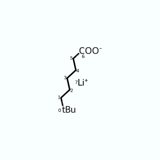 CC(C)(C)CCCCCC(=O)[O-].[Li+]